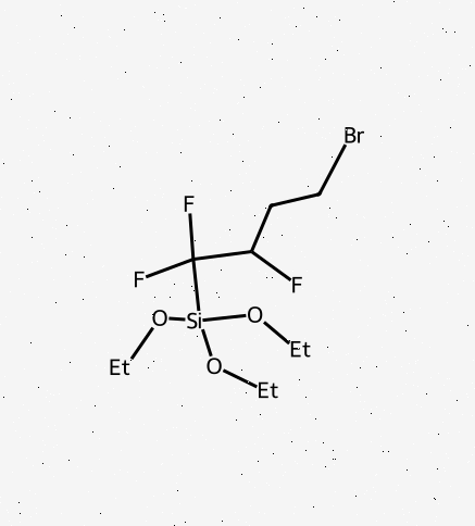 CCO[Si](OCC)(OCC)C(F)(F)C(F)CCBr